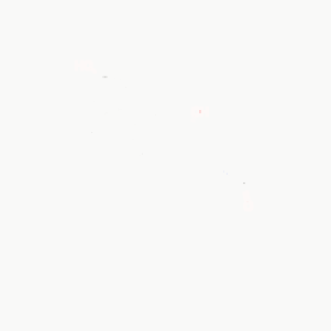 Cc1cc(O)ccc1-c1cccc([C@H](O)/C=C/C2CCC(=O)N2CCCCCCC(=O)O)c1